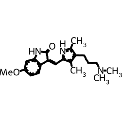 COc1ccc2c(c1)NC(=O)/C2=C\c1[nH]c(C)c(CCCN(C)C)c1C